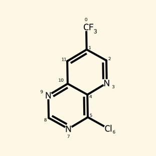 FC(F)(F)c1cnc2c(Cl)ncnc2c1